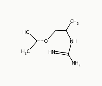 CC(COC(C)O)NC(=N)N